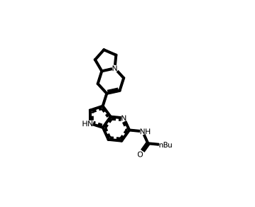 CCCCC(=O)Nc1ccc2[nH]cc(C3=CCN4CCCC4C3)c2n1